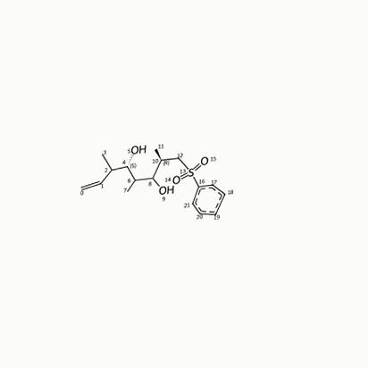 C=CC(C)[C@H](O)C(C)C(O)[C@@H](C)CS(=O)(=O)c1ccccc1